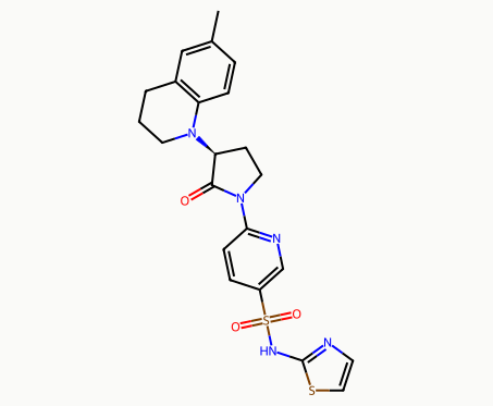 Cc1ccc2c(c1)CCCN2[C@H]1CCN(c2ccc(S(=O)(=O)Nc3nccs3)cn2)C1=O